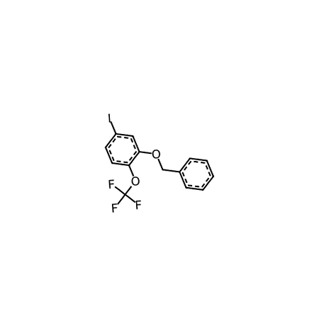 FC(F)(F)Oc1ccc(I)cc1OCc1ccccc1